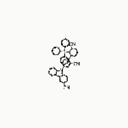 N#Cc1ccc2c(c1)c1ccccc1n2-c1ccc(-c2cccc(C#N)c2[Si](c2ccccc2)(c2ccccc2)c2ccccc2)c(C#N)c1